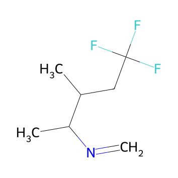 C=NC(C)C(C)CC(F)(F)F